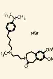 Br.COc1cc2c(cc1OC)CC(=O)N(CCCN(C)CCCCc1ccc(N(C)C)cc1)CC2